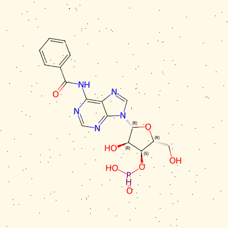 O=C(Nc1ncnc2c1ncn2[C@@H]1O[C@H](CO)[C@@H](O[PH](=O)O)[C@H]1O)c1ccccc1